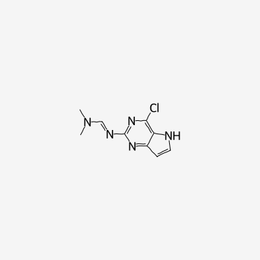 CN(C)C=Nc1nc(Cl)c2[nH]ccc2n1